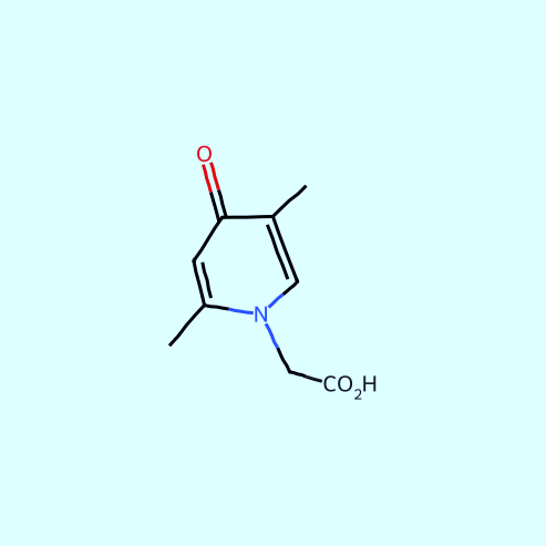 Cc1cn(CC(=O)O)c(C)cc1=O